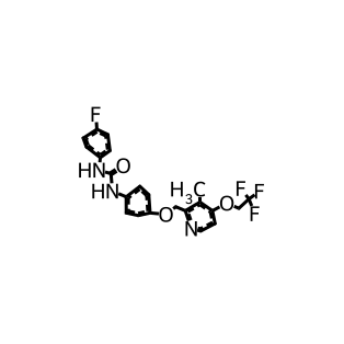 Cc1c(OCC(F)(F)F)ccnc1COc1ccc(NC(=O)Nc2ccc(F)cc2)cc1